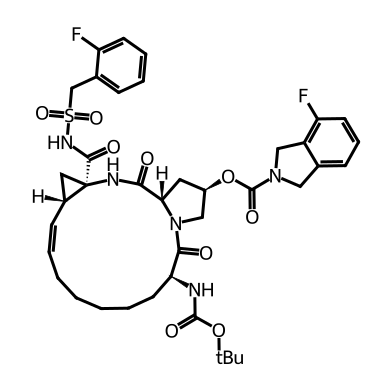 CC(C)(C)OC(=O)N[C@H]1CCCCC/C=C\[C@@H]2C[C@@]2(C(=O)NS(=O)(=O)Cc2ccccc2F)NC(=O)[C@@H]2C[C@@H](OC(=O)N3Cc4cccc(F)c4C3)CN2C1=O